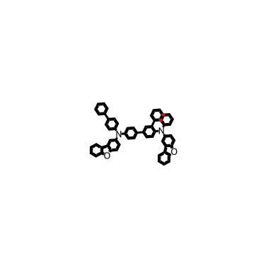 c1ccc(-c2ccc(N(c3ccc(-c4ccc(N(c5ccccc5)c5ccc6oc7ccccc7c6c5)c(-c5ccccc5)c4)cc3)c3ccc4oc5ccccc5c4c3)cc2)cc1